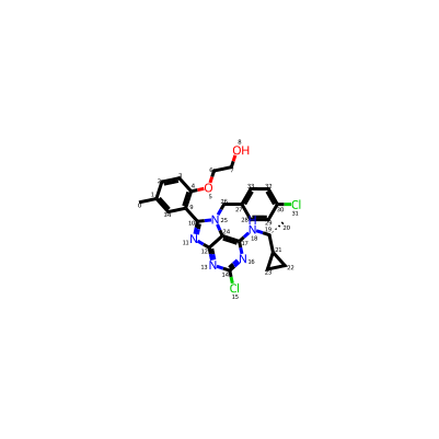 Cc1ccc(OCCO)c(-c2nc3nc(Cl)nc(N[C@H](C)C4CC4)c3n2Cc2ccc(Cl)cc2)c1